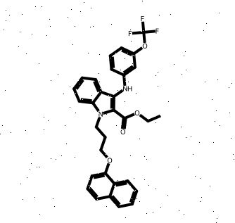 CCOC(=O)c1c(Nc2cccc(OC(F)(F)F)c2)c2ccccc2n1CCCOc1cccc2ccccc12